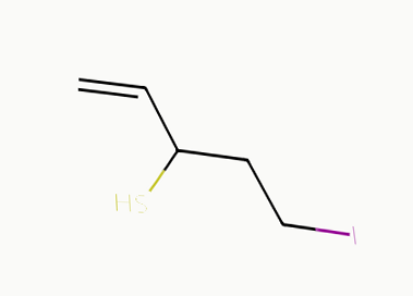 C=CC(S)CCI